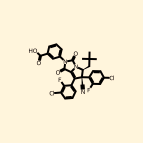 CC(C)(C)C[C@@H]1N2C(=O)N(c3cccc(C(=O)O)c3)C(=O)C2=C(c2cccc(Cl)c2F)[C@@]1(C#N)c1ccc(Cl)cc1F